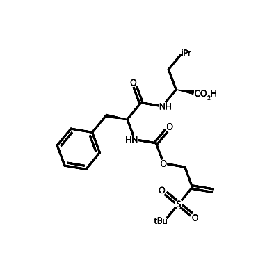 C=C(COC(=O)N[C@@H](Cc1ccccc1)C(=O)N[C@@H](CC(C)C)C(=O)O)S(=O)(=O)C(C)(C)C